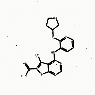 Cc1c(C(N)=O)sc2ncnc(Nc3cccnc3OC3CCOC3)c12